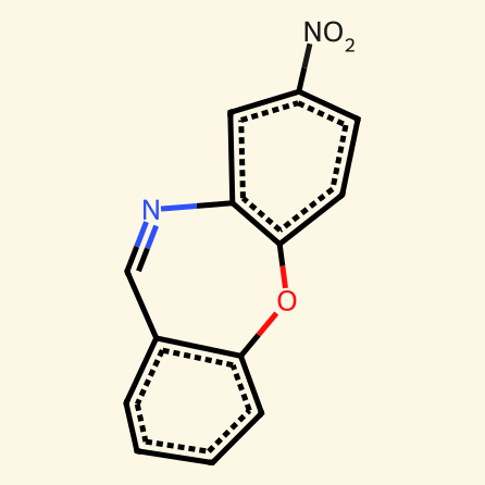 O=[N+]([O-])c1ccc2c(c1)N=Cc1ccccc1O2